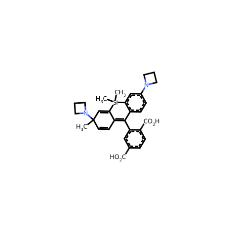 CC1(N2CCC2)C=CC2=C(c3cc(C(=O)O)ccc3C(=O)O)c3ccc(N4CCC4)cc3[Si](C)(C)C2=C1